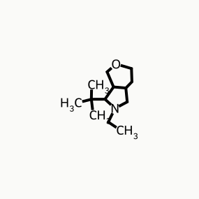 CCN1CC2CCOCC2C1C(C)(C)C